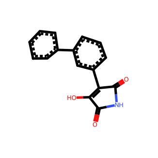 O=C1NC(=O)C(c2cccc(-c3ccccc3)c2)=C1O